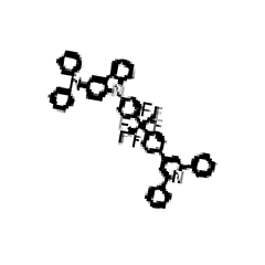 FC(F)(F)C(c1ccc(-c2cc(-c3ccccc3)nc(-c3ccccc3)c2)cc1)(c1ccc(-n2c3ccccc3c3cc(N(c4ccccc4)c4ccccc4)ccc32)cc1)C(F)(F)F